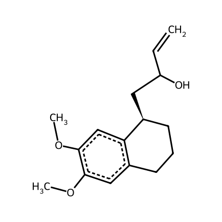 C=CC(O)C[C@H]1CCCc2cc(OC)c(OC)cc21